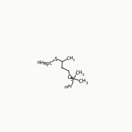 CCCCCCCSC(C)CCO[Si](C)(C)CCC